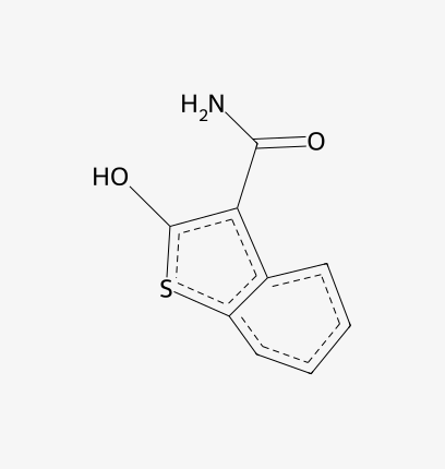 NC(=O)c1c(O)sc2ccccc12